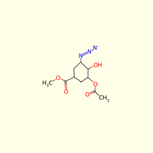 COC(=O)C1CC(N=[N+]=[N-])C(O)C(OC(C)=O)C1